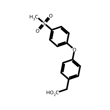 CS(=O)(=O)c1ccc(Oc2ccc(CC(=O)O)cc2)cc1